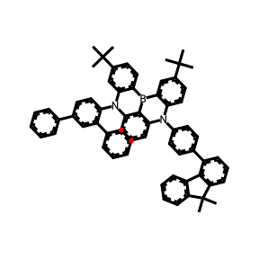 CC(C)(C)c1ccc2c(c1)B1c3ccc(C(C)(C)C)cc3N(c3ccc(-c4ccccc4)cc3-c3ccccc3)c3cccc(c31)N2c1ccc(-c2cccc3c2-c2ccccc2C3(C)C)cc1